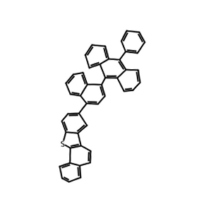 c1ccc(-c2c3ccccc3c(-c3ccc(-c4ccc5sc6c7ccccc7ccc6c5c4)c4ccccc34)c3ccccc23)cc1